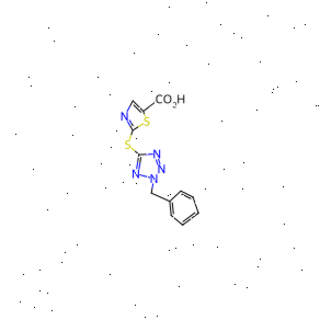 O=C(O)c1cnc(Sc2nnn(Cc3ccccc3)n2)s1